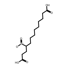 O=C(O)CCCCCCCCC(CCC(=O)O)[N+](=O)[O-]